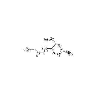 COc1cc(N)ccc1N/C=N\CN